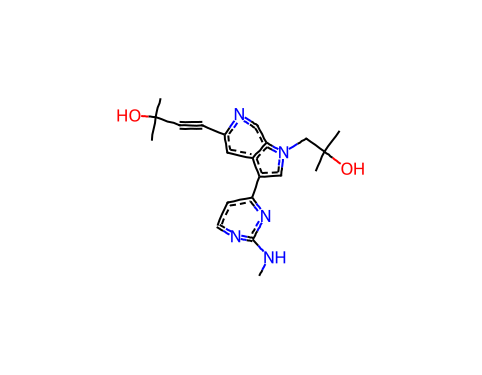 CNc1nccc(-c2cn(CC(C)(C)O)c3cnc(C#CC(C)(C)O)cc23)n1